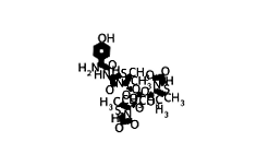 CC(OC(=O)[C@@H]1N2C(=O)C(=O)[C@H]2SC1(C)C)(OC(=O)[C@@H]1N2C(=O)C(=O)[C@H]2SC1(C)C)OC(=O)[C@@H]1N2C(=O)C(NC(=O)C(N)c3ccc(O)cc3)[C@H]2SC1(C)C